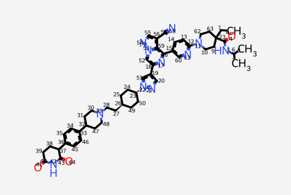 CCC1(C(=O)NC(C)C)CCN(c2ccc(-c3nc(-c4cnn([C@H]5CC[C@H](CCN6CCC(c7ccc(C8CCC(=O)NC8=O)cc7)CC6)CC5)c4)cn4ncc(C#N)c34)cn2)CC1